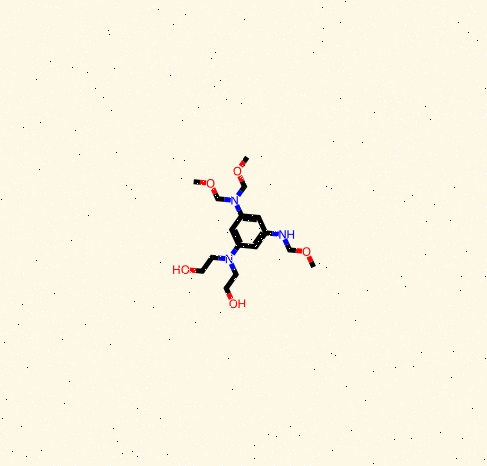 COCNc1cc(N(CCO)CCO)cc(N(COC)COC)c1